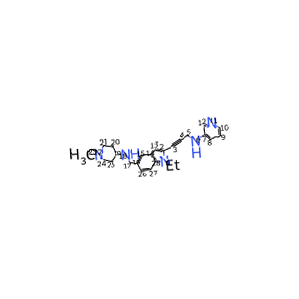 CCn1c(C#CCNc2cccnc2)cc2cc(CNC3CCN(C)CC3)ccc21